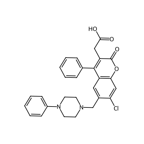 O=C(O)Cc1c(-c2ccccc2)c2cc(CN3CCN(c4ccccc4)CC3)c(Cl)cc2oc1=O